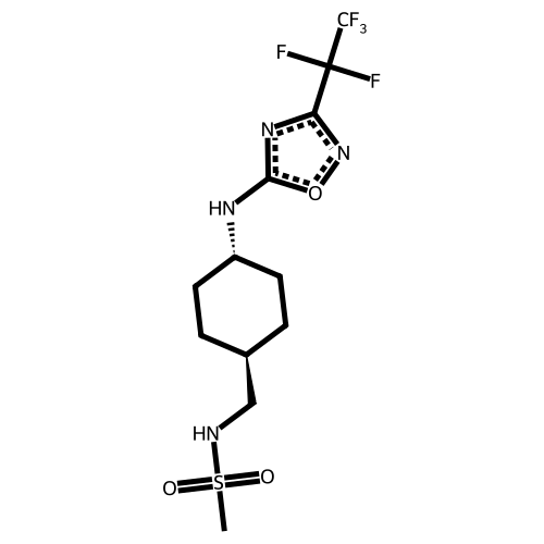 CS(=O)(=O)NC[C@H]1CC[C@H](Nc2nc(C(F)(F)C(F)(F)F)no2)CC1